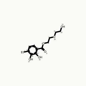 CCc1ccc(C(=O)OCCOCCO)c(O)c1O